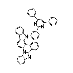 c1ccc(-c2cc(-c3ccccc3)nc(-c3cccc(-n4c5ccccc5c5ccc6c(c7ccccc7c7nc8ccccc8n67)c54)c3)n2)cc1